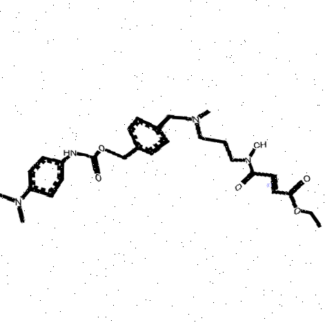 CCOC(=O)/C=C/C(=O)N(O)CCCN(C)Cc1ccc(COC(=O)Nc2ccc(N(C)C)cc2)cc1